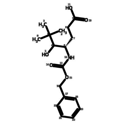 CC(C)(C)C(O)[C@H](CCC(=O)O)NC(=O)OCc1ccccc1